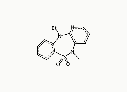 CCN1c2ccccc2S(=O)(=O)N(C)c2cccnc21